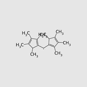 CC1=C(C)C(C)C([CH]C2=C(C)C(C)=C(C)C2C)=C1C